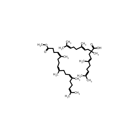 CC(C)=CCC/C(C)=C/CC(C)(C/C=C(\C)CCC=C(C)C)C(=O)O.COC(=O)CCC=C(C)CCC=C(C)CCC=C(C)CCC=C(C)C